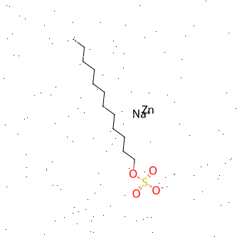 CCCCCCCCCCCCOS(=O)(=O)[O-].[Na+].[Zn]